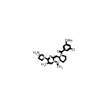 C=NN1C=C(C)C(N2CC[C@H](N)C2)=N/C1=C/C1CCCCN1C(=O)c1cc(Cl)cc(OC)c1